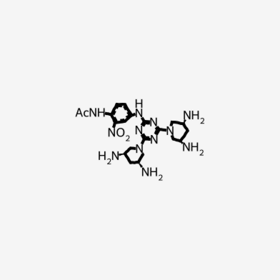 CC(=O)Nc1ccc(Nc2nc(N3C[C@H](N)C[C@H](N)C3)nc(N3C[C@H](N)C[C@H](N)C3)n2)cc1[N+](=O)[O-]